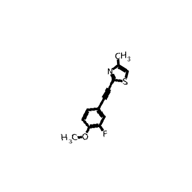 COc1ccc(C#Cc2nc(C)cs2)cc1F